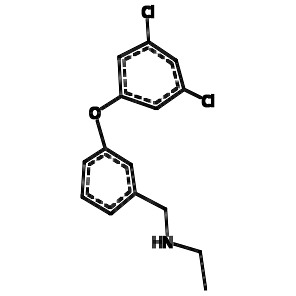 CCNCc1cccc(Oc2cc(Cl)cc(Cl)c2)c1